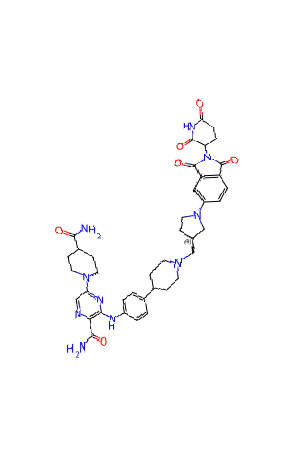 NC(=O)c1ncc(N2CCC(C(N)=O)CC2)nc1Nc1ccc(C2CCN(C[C@H]3CCN(c4ccc5c(c4)C(=O)N(C4CCC(=O)NC4=O)C5=O)C3)CC2)cc1